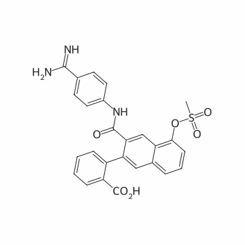 CS(=O)(=O)Oc1cccc2cc(-c3ccccc3C(=O)O)c(C(=O)Nc3ccc(C(=N)N)cc3)cc12